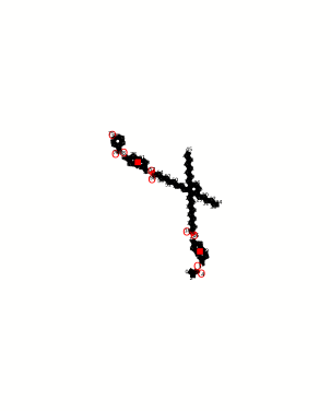 C=C(C)C(=O)OCC1CC2CC1C1CC(COC(=O)CCCCCCCCC3C(CCCCCC)CCC(CCCCCCCC)C3CCCCCCCCC(=O)OCC3CC4CC3C3CC(COC(=O)C5CCC6OC6C5)CC43)CC21